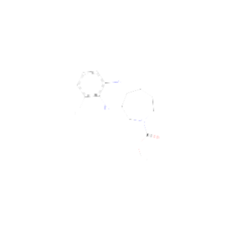 Cc1cccc(N)c1N[C@@H]1CCCCN(C(=O)OC(C)(C)C)C1